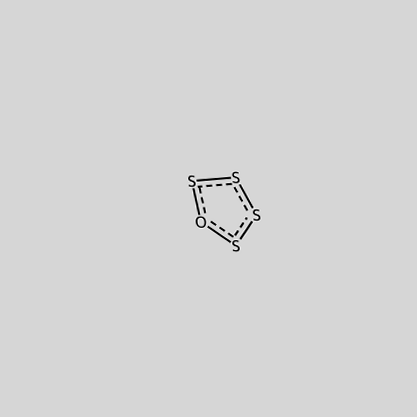 o1ssss1